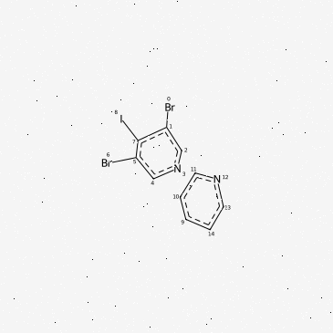 Brc1cncc(Br)c1I.c1ccncc1